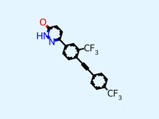 O=c1ccc(-c2ccc(C#Cc3ccc(C(F)(F)F)cc3)c(C(F)(F)F)c2)n[nH]1